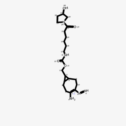 N=N/C1=C(\N)CCC2C(CC1)C2COC(=O)NCCCCCC(=O)N1CCC(O)C1